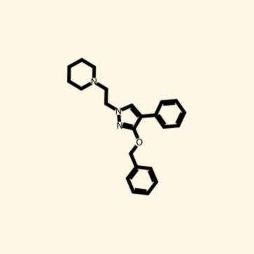 c1ccc(COc2nn(CCN3CCCCC3)cc2-c2ccccc2)cc1